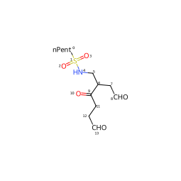 CCCCCS(=O)(=O)NCC(CC=O)C(=O)CCC=O